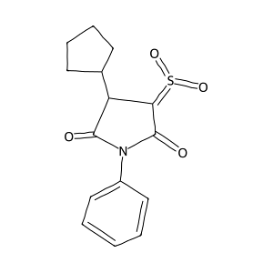 O=C1C(=S(=O)=O)C(C2CCCC2)C(=O)N1c1ccccc1